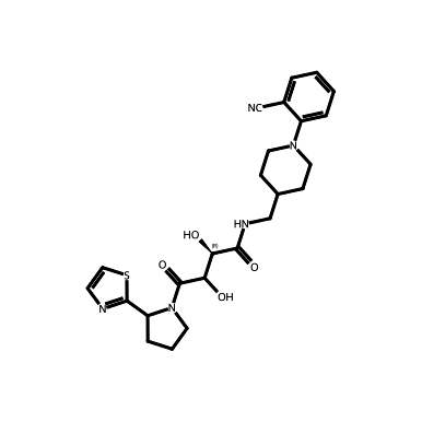 N#Cc1ccccc1N1CCC(CNC(=O)[C@H](O)C(O)C(=O)N2CCCC2c2nccs2)CC1